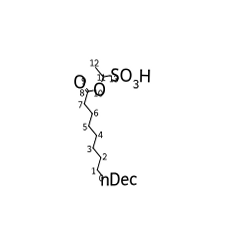 CCCCCCCCCCCCCCCCCC(=O)OC(C)S(=O)(=O)O